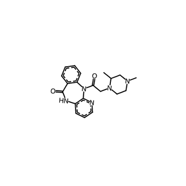 CC1CN(C)CCN1CC(=O)N1c2ccccc2C(=O)Nc2cccnc21